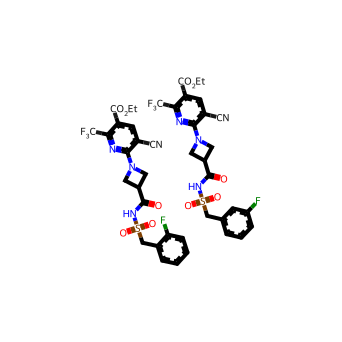 CCOC(=O)c1cc(C#N)c(N2CC(C(=O)NS(=O)(=O)Cc3cccc(F)c3)C2)nc1C(F)(F)F.CCOC(=O)c1cc(C#N)c(N2CC(C(=O)NS(=O)(=O)Cc3ccccc3F)C2)nc1C(F)(F)F